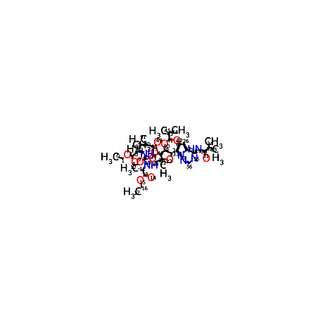 CCOC(=O)[C@H](C)NP(=O)(N[C@@H](C)C(=O)OCC)OC[C@@]1(C)O[C@@H](c2ccc3c(NC(=O)C(C)C)ncnn23)[C@H](OC(=O)C(C)C)[C@@H]1OC(=O)C(C)C